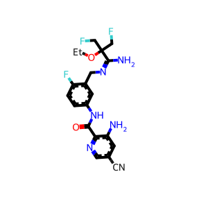 CCOC(CF)(CF)/C(N)=N\Cc1cc(NC(=O)c2ncc(C#N)cc2N)ccc1F